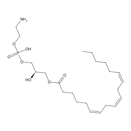 CCCCC/C=C\C/C=C\C/C=C\CCCCC(=O)OC[C@@H](O)COP(=O)(O)OCCN